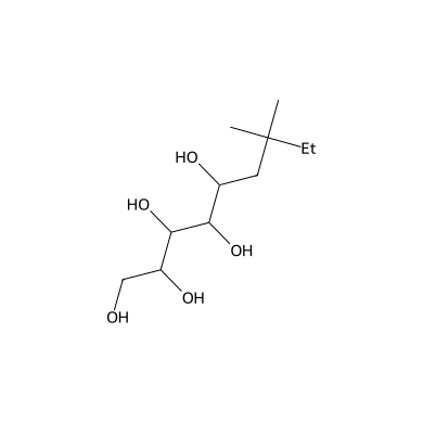 CCC(C)(C)CC(O)C(O)C(O)C(O)CO